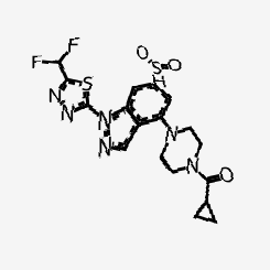 O=C(C1CC1)N1CCN(c2cc([SH](=O)=O)cc3c2cnn3-c2nnc(C(F)F)s2)CC1